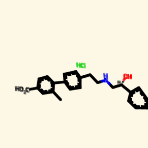 Cc1cc(C(=O)O)ccc1-c1ccc(CCNC[C@H](O)c2ccccc2)cc1.Cl